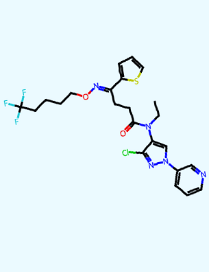 CCN(C(=O)CC/C(=N\OCCCCC(F)(F)F)c1cccs1)c1cn(-c2cccnc2)nc1Cl